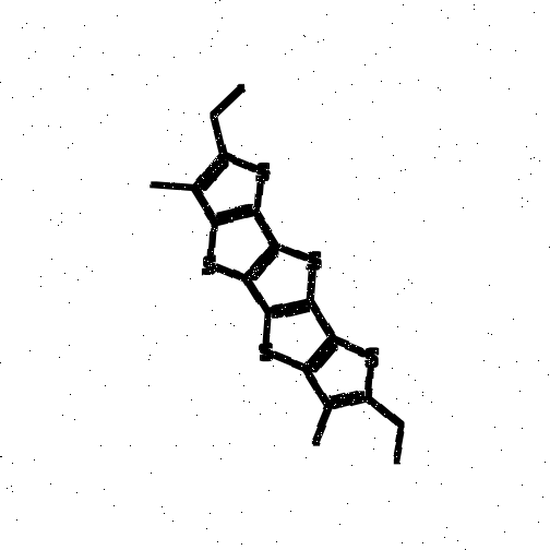 CCc1sc2c(sc3c2sc2c4sc(CC)c(C)c4sc23)c1C